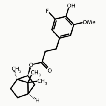 COc1cc(CCC(=O)O[C@H]2C[C@H]3CC[C@]2(C)C3(C)C)cc(F)c1O